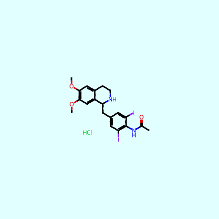 COc1cc2c(cc1OC)C(Cc1cc(I)c(NC(C)=O)c(I)c1)NCC2.Cl